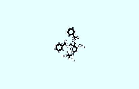 C[C@H]1C[C@@H](OC(C)(C)O)OC1(COC(=O)c1ccccc1)COC(=O)c1ccccc1